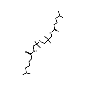 CC(C)CCCCC(=O)NCC(C)(C)OCC(C)(C)CNC(=O)CCSC(C)C